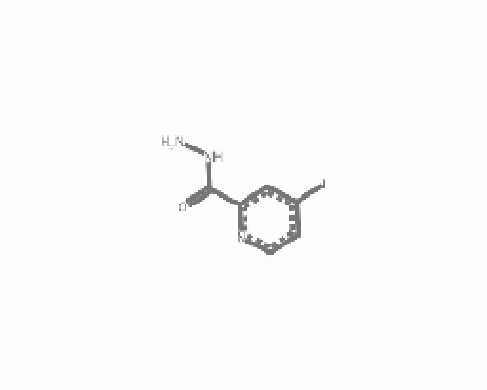 NNC(=O)c1cc(I)ccn1